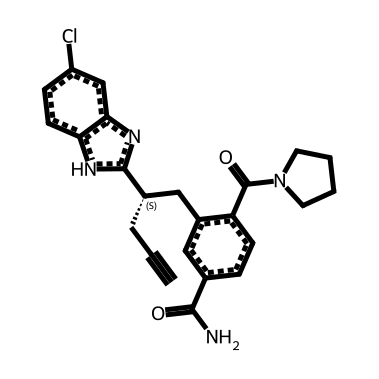 C#CC[C@@H](Cc1cc(C(N)=O)ccc1C(=O)N1CCCC1)c1nc2cc(Cl)ccc2[nH]1